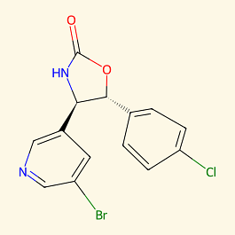 O=C1N[C@H](c2cncc(Br)c2)[C@@H](c2ccc(Cl)cc2)O1